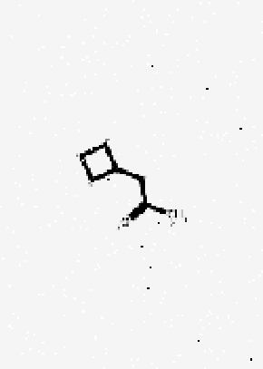 CC(=O)C[C]1CCC1